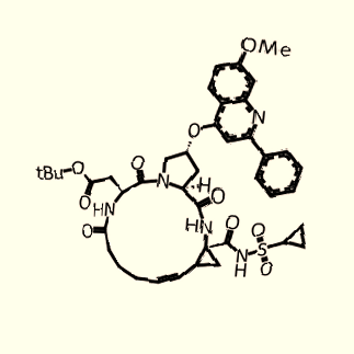 COc1ccc2c(O[C@@H]3C[C@H]4C(=O)N[C@]5(C(=O)NS(=O)(=O)C6CC6)CC5C=CCCCC(=O)N[C@@H](CC(=O)OC(C)(C)C)C(=O)N4C3)cc(-c3ccccc3)nc2c1